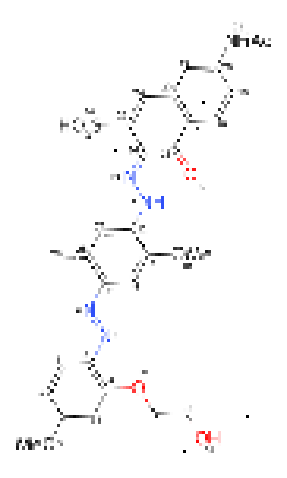 COc1ccc(/N=N/c2cc(OC)c(N/N=C3\C(=O)c4ccc(NC(C)=O)cc4C=C3S(=O)(=O)O)cc2C)c(OCCO)c1